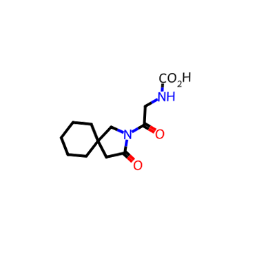 O=C(O)NCC(=O)N1CC2(CCCCC2)CC1=O